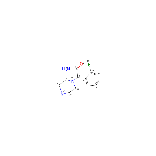 NC(=O)C(c1ccccc1F)N1CCNCC1